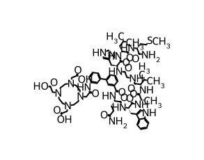 CSCC[C@H](NC(=O)[C@H](CC(C)C)NC(=O)[C@H](Cc1c[nH]cn1)NC(=O)CNC(=O)[C@@H](NC(=O)[C@H](C)NC(=O)[C@H](Cc1c[nH]c2ccccc12)NC(=O)[C@H](CCC(N)=O)NC(=O)c1cccc(-c2cccc(NC(=O)CN3CCN(CC(=O)O)CCN(CC(=O)O)CCN(CC(=O)O)CC3)c2)c1)C(C)C)C(N)=O